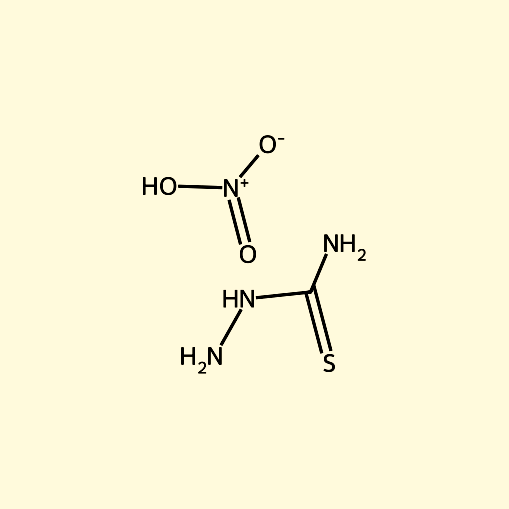 NNC(N)=S.O=[N+]([O-])O